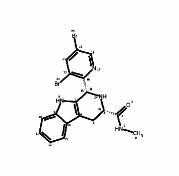 CNC(=O)[C@@H]1Cc2c([nH]c3ccccc23)[C@H](c2ncc(Br)cc2Br)N1